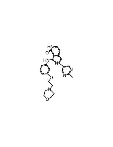 Cc1ncc(-c2cc3cc[nH]c(=O)c3c(Nc3cccc(OCCN4CCOCC4)c3)n2)cn1